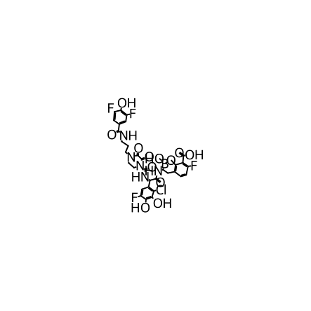 O=C(NCCCN1CCN(C(=O)NC(C(=O)NC2Cc3ccc(F)c(C(=O)O)c3OB2O)c2cc(F)c(O)c(O)c2Cl)C(=O)C1=O)c1cc(F)c(O)c(F)c1